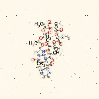 CC(=O)OC(C)C(=O)OC(C)C(=O)OC(C)C(=O)OC(C)C(=O)OC(C)C(=O)OC(C)C(=O)N(C1=NCCN1C(C)=O)c1ccc2nccnc2c1Br